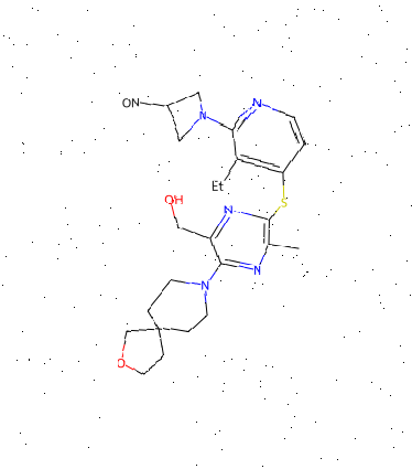 CCc1c(Sc2nc(CO)c(N3CCC4(CCOC4)CC3)nc2C)ccnc1N1CC(N=O)C1